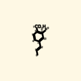 CC=Cc1ccc(C(=O)O)c(F)c1